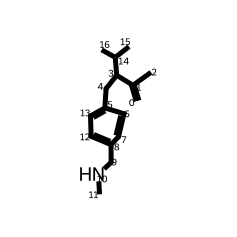 C=C(C)C(Cc1ccc(CNC)cc1)C(C)C